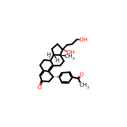 CC(=O)c1ccc([C@@H]2CC(=O)C=C3CC[C@@H]4C(=C32)CC[C@]2(C)[C@H]4CC[C@]2(O)CCCO)cc1